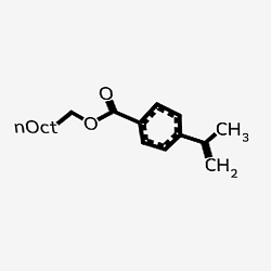 C=C(C)c1ccc(C(=O)OCCCCCCCCC)cc1